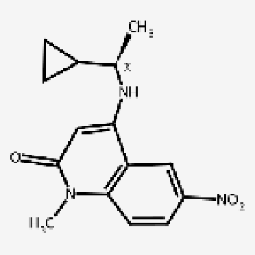 C[C@@H](Nc1cc(=O)n(C)c2ccc([N+](=O)[O-])cc12)C1CC1